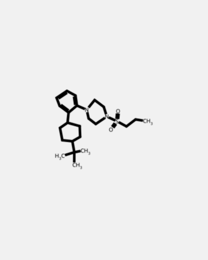 CCCS(=O)(=O)N1CCN(c2ccccc2C2CCC(C(C)(C)C)CC2)CC1